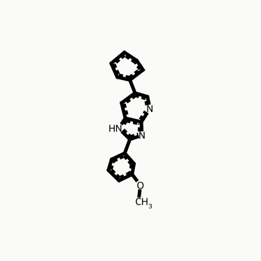 COc1cccc(-c2nc3ncc(-c4ccccc4)cc3[nH]2)c1